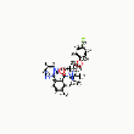 Cc1ccc(-c2ncccn2)c(C(=O)N2C3CC(C3)C[C@@H]2COc2ccc(F)cc2)c1